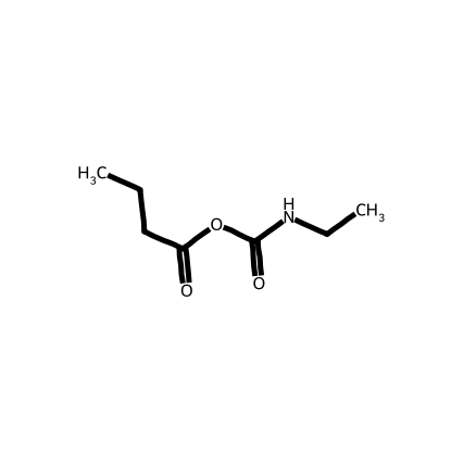 CCCC(=O)OC(=O)NCC